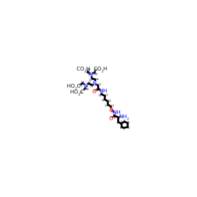 N[C@H](CC1CCCCC1)C(=O)NOCCCCCCNC(=O)CN(CCN(CC(=O)O)CC(=O)O)CCN(CC(=O)O)CC(=O)O